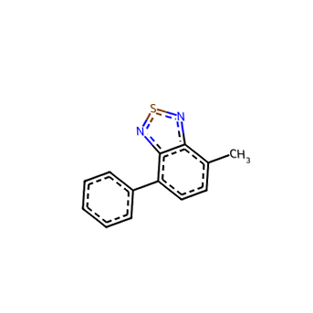 Cc1ccc(-c2ccccc2)c2nsnc12